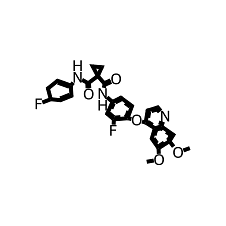 COc1cc2nccc(Oc3ccc(NC(=O)C4(C(=O)NC5=CCC(F)C=C5)CC4)cc3F)c2cc1OC